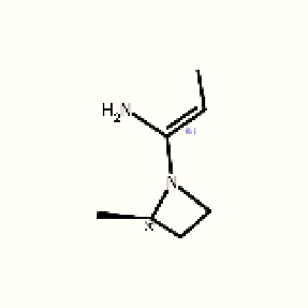 C/C=C(\N)N1CC[C@H]1C